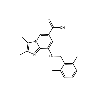 Cc1cccc(C)c1CNc1cc(C(=O)O)cn2c(C)c(C)nc12